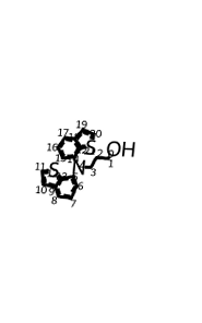 OCCCN(c1cccc2ccsc12)c1cccc2ccsc12